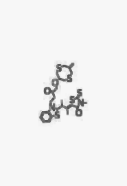 C=C1CSCC(OCC(=O)CCN2c3ccccc3SC2C(C)/C(C)=C2\SC(=S)N(C)C2=O)CSC1